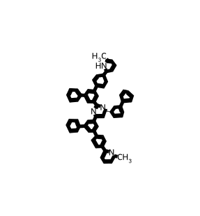 CC1=CC=CC(C2C=CC(c3cc(-c4ccccc4)cc(-c4nc(-c5cc(-c6ccccc6)cc(-c6ccc(-c7cccc(C)n7)cc6)c5)cc([C@H]5C=CC=C(c6ccccc6)C5)n4)c3)=CC2)N1